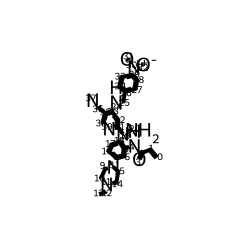 C=CC(=O)Nc1cc(N2CCN(CC)CC2)ccc1N(N)c1cc(NCc2ccc([N+](=O)[O-])cc2)c(C#N)cn1